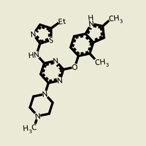 CCc1cnc(Nc2cc(N3CCN(C)CC3)nc(Oc3ccc4[nH]c(C)cc4c3C)n2)s1